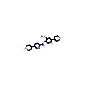 Cc1cc(C2=CCNCC2)c(F)cc1NC(=O)c1ccc(C2=CCNCC2)cn1